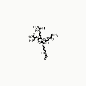 [N-]=[N+]=NNCCCC[C@H](NC(=O)CNC(=O)CN)C(=O)N[C@@H](CCCNC(=N)N)C(=O)N[C@@H](CS)C(=O)O